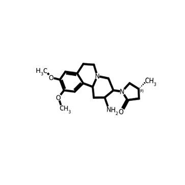 COc1cc2c(cc1OC)C1CC(N)C(N3C[C@H](C)CC3=O)CN1CC2